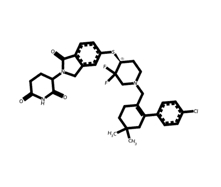 CC1(C)CCC(CN2CC[C@H](Sc3ccc4c(c3)CN(C3CCC(=O)NC3=O)C4=O)C(F)(F)C2)=C(c2ccc(Cl)cc2)C1